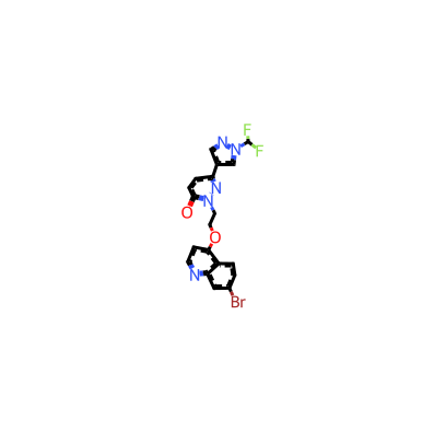 O=c1ccc(-c2cnn(C(F)F)c2)nn1CCOc1ccnc2cc(Br)ccc12